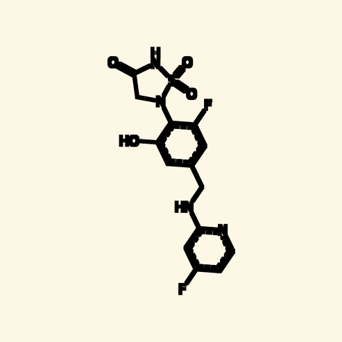 O=C1CN(c2c(O)cc(CNc3cc(F)ccn3)cc2F)S(=O)(=O)N1